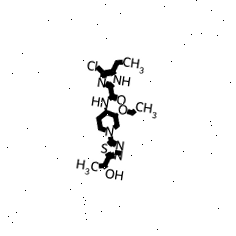 CCO[C@H]1CN(c2nnc(C(C)O)s2)CC[C@H]1NC(=O)c1nc(Cl)c(CC)[nH]1